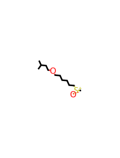 CC(C)CCOCCCCCC[S+](C)[O-]